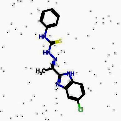 C/C(=N\NC(=S)Nc1ccccc1)c1nc2cc(Cl)ccc2[nH]1